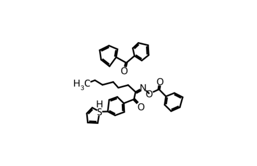 CCCCCCC(=NOC(=O)c1ccccc1)C(=O)c1ccc([SH]2C=CC=C2)cc1.O=C(c1ccccc1)c1ccccc1